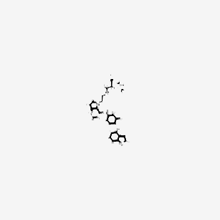 CS(=O)(=O)OC(C#N)C(=O)NCCn1ccc2ncnc(Nc3ccc(Oc4cccc5sccc45)c(Cl)c3)c21